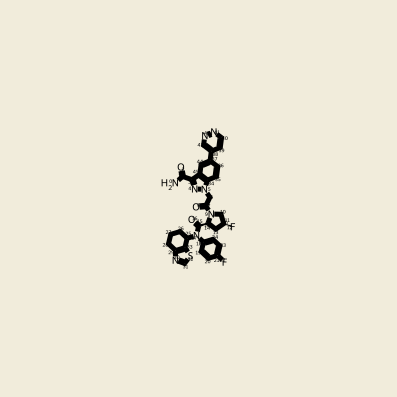 NC(=O)c1nn(CC(=O)N2C[C@H](F)C[C@H]2C(=O)N(c2ccc(F)cc2)C2CCCc3ncsc32)c2ccc(-c3ccnnc3)cc12